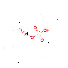 [O]=[Al][O]S(=O)(=O)O